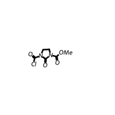 COC(=O)N1CCN(C(=O)Cl)C1=O